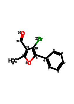 Cc1oc(-c2ccccc2)c(Br)c1C=O